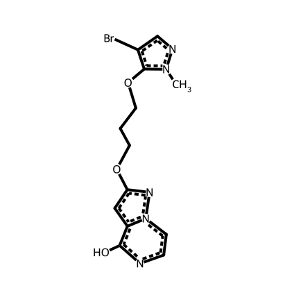 Cn1ncc(Br)c1OCCCOc1cc2c(O)nccn2n1